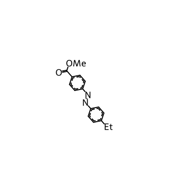 CCc1ccc(N=Nc2ccc(C(=O)OC)cc2)cc1